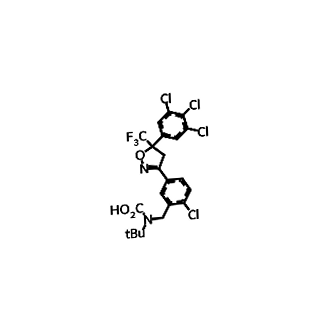 CC(C)(C)N(Cc1cc(C2=NOC(c3cc(Cl)c(Cl)c(Cl)c3)(C(F)(F)F)C2)ccc1Cl)C(=O)O